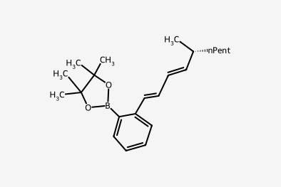 CCCCC[C@@H](C)/C=C/C=C/c1ccccc1B1OC(C)(C)C(C)(C)O1